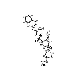 C[C@@H]1CN(CC(O)CN2CCc3ccccc3C2)C(=O)c2ccc(OC3CCN(CCO)CC3)cc2O1